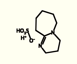 C1CCC2=NCCCN2CC1.O=S(=O)([O-])O.[H+]